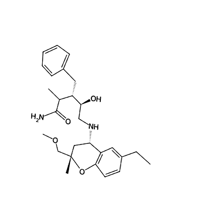 CCc1ccc2c(c1)[C@@H](NC[C@H](O)[C@@H](Cc1ccccc1)C(C)C(N)=O)C[C@@](C)(COC)O2